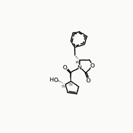 O=C1OC[C@@H](Cc2ccccc2)N1C(=O)[C@H]1CC=C[C@@H]1O